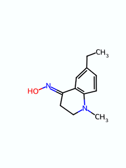 CCc1ccc2c(c1)C(=NO)CCN2C